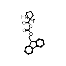 O=C(OCC1c2ccccc2-c2ccccc21)OC(=O)[C@]1(F)CCCN1